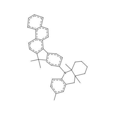 Cc1ccc2c(c1)CC1(C)CCCCC1(C)N2c1ccc2c(c1)C(C)(C)c1ccc3c(ccc4ccccc43)c1-2